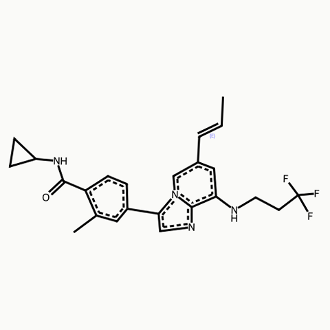 C/C=C/c1cc(NCCC(F)(F)F)c2ncc(-c3ccc(C(=O)NC4CC4)c(C)c3)n2c1